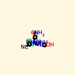 N#Cc1cc(F)c(Nc2nc3cnc(N[C@@H]4CCC[C@@H](O)C4)nc3n2[C@H]2CC[C@@H](C(N)=O)CC2)c(Cl)c1